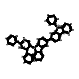 C1=C(n2c3ccccc3c3cc(-c4ccc5c6ncccc6n(-c6ccccc6)c5c4)ccc32)C(c2ccccc2)NC(c2ccccc2)=N1